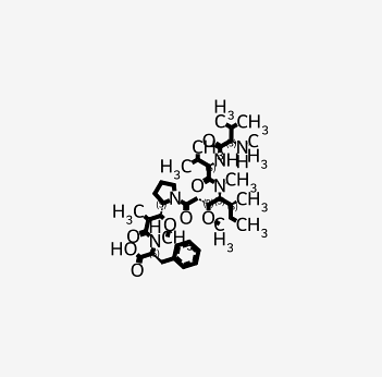 CC[C@H](C)[C@@H]([C@@H](CC(=O)N1CCC[C@H]1C(OC)C(C)C(=O)N[C@@H](Cc1ccccc1)C(=O)O)OC)N(C)C(=O)[C@@H](NC(=O)[C@@H](NC)C(C)C)C(C)C